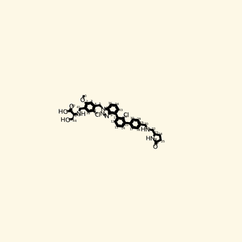 COc1cc(Cn2nnc3c(-c4cccc(-c5ccc(CNCC6CCC(=O)N6)cc5)c4Cl)cccc32)c(Cl)cc1CN[C@@H](CO)C(=O)O